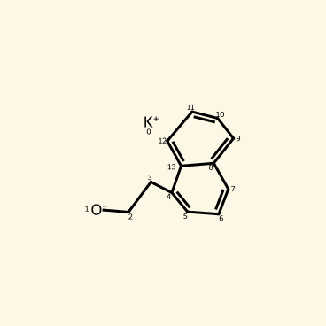 [K+].[O-]CCc1cccc2ccccc12